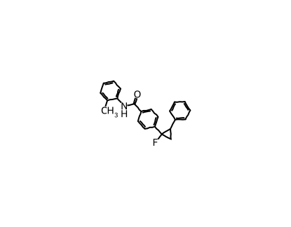 Cc1ccccc1NC(=O)c1ccc(C2(F)CC2c2ccccc2)cc1